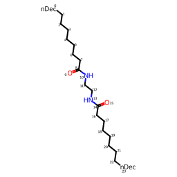 CCCCCCCCCCCCCCCCCC(=O)N[CH][CH]NC(=O)CCCCCCCCCCCCCCCCC